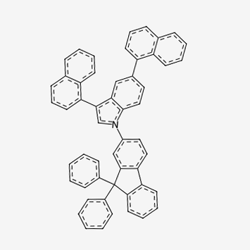 c1ccc(C2(c3ccccc3)c3ccccc3-c3ccc(-n4cc(-c5cccc6ccccc56)c5cc(-c6cccc7ccccc67)ccc54)cc32)cc1